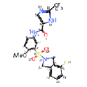 COc1ccc(NC(=O)c2cnc(C(F)(F)F)[nH]2)cc1S(=O)(=O)N1Cc2cccc(F)c2C1